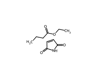 CCCC(=O)OCC.O=C1C=CC(=O)N1